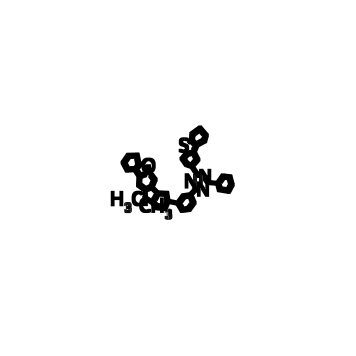 CC1(C)c2ccc(-c3cccc(-c4nc(-c5ccccc5)nc(-c5ccc6sc7ccccc7c6c5)n4)c3)cc2-c2cc3oc4ccccc4c3cc21